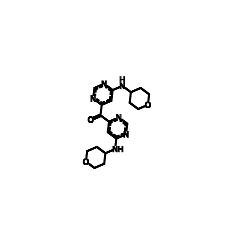 O=C(c1cc(NC2CCOCC2)ncn1)c1cc(NC2CCOCC2)ncn1